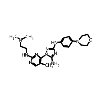 Cc1cnc(NCCN(C)C)nc1-n1nc(Nc2ccc(N3CCOCC3)cc2)nc1N